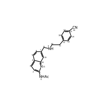 CC(=O)Nc1ccc2ccc(CNCCc3ccc(C#N)cc3)cc2n1